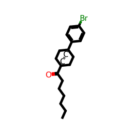 CCCCCCC(=O)C12CCC(c3ccc(Br)cc3)(CC1)CC2